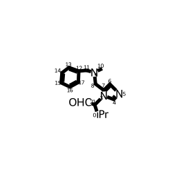 CC(C)C(C=O)n1cncc1CN(C)Cc1ccccc1